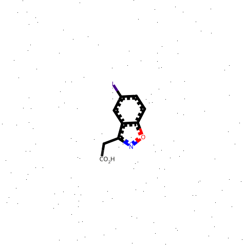 O=C(O)Cc1noc2ccc(I)cc12